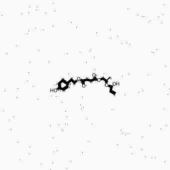 C=CC(O)O[C@H](C)COC(=O)CCC(=O)OCCc1ccc(O)cc1